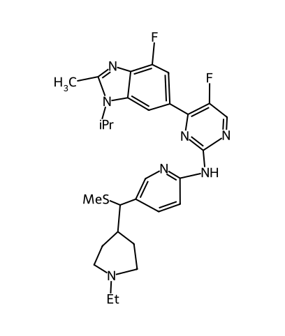 CCN1CCC(C(SC)c2ccc(Nc3ncc(F)c(-c4cc(F)c5nc(C)n(C(C)C)c5c4)n3)nc2)CC1